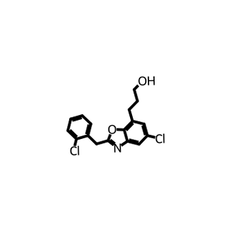 OCCCc1cc(Cl)cc2nc(Cc3ccccc3Cl)oc12